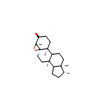 CC(=O)[C@H]1CC[C@H]2[C@@H]3CC[C@@]45O[C@@H]4C(=O)[C@H](C#N)C[C@]5(C)[C@H]3CC[C@]12C